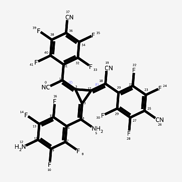 N#C/C(=C1\C(=C(N)c2c(F)c(F)c(N)c(F)c2F)\C1=C(\C#N)c1c(F)c(F)c(C#N)c(F)c1F)c1c(F)c(F)c(C#N)c(F)c1F